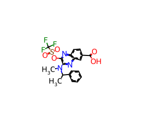 CC(c1ccccc1)N(C)c1nc2cc(C(=O)O)ccc2nc1OS(=O)(=O)C(F)(F)F